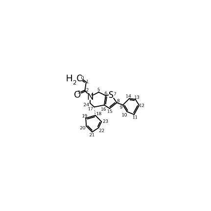 C=CC(=O)N1Cc2sc(-c3ccccc3)cc2[C@H](c2ccccc2)C1